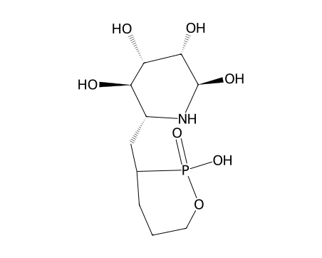 O=P1(O)OCCCC1C[C@H]1N[C@H](O)[C@@H](O)[C@@H](O)[C@@H]1O